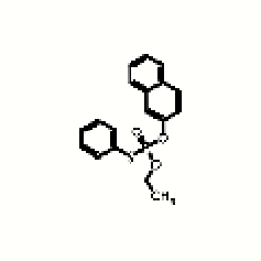 CCOP(=O)(Oc1ccc2ccccc2c1)Sc1ccccc1